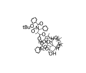 CC(=O)O[C@]12CO[C@@H]1C[C@@H]1O[Si](C)(C)C[Si](C)(C)O[C@H]3C(=O)[C@@]1(C)C2[C@@H](OC(=O)c1ccccc1)[C@]1(O)C[C@@H](OC(=O)[C@@H](C)[C@H](c2ccccc2)N(C(=O)OC(C)(C)C)C(=O)c2ccccc2)C(C)=C3C1(C)C